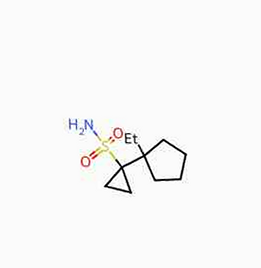 CCC1(C2(S(N)(=O)=O)CC2)CCCC1